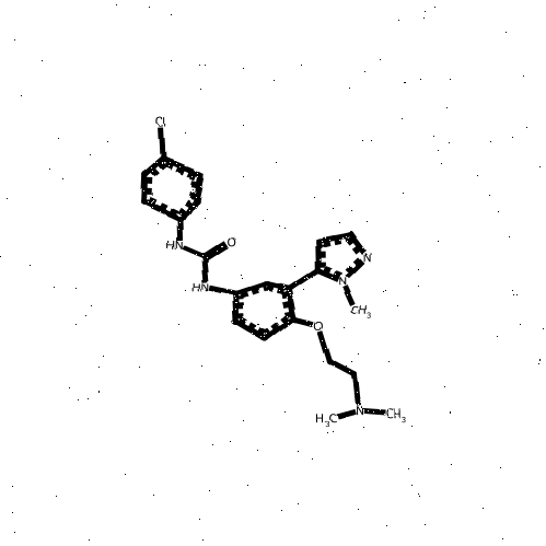 CN(C)CCOc1ccc(NC(=O)Nc2ccc(Cl)cc2)cc1-c1ccnn1C